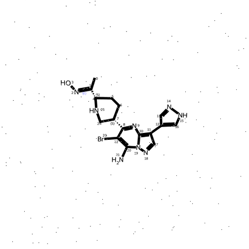 C/C(=N\O)[C@@H]1CC[C@H](c2nc3c(-c4cn[nH]c4)cnn3c(N)c2Br)CN1